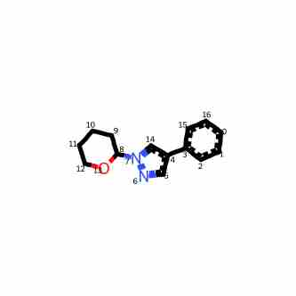 c1ccc(-c2cnn(C3CCCCO3)c2)cc1